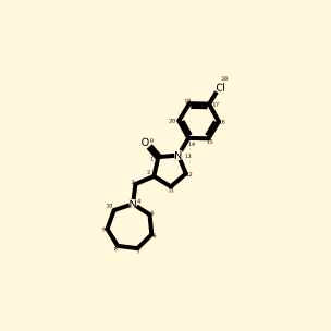 O=C1C(CN2CCCCCC2)CCN1c1ccc(Cl)cc1